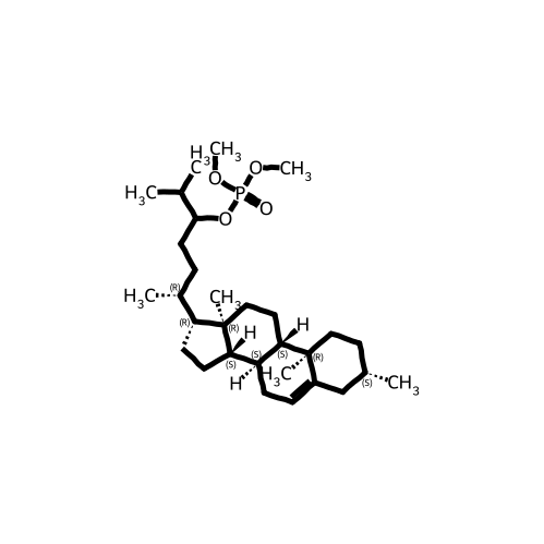 COP(=O)(OC)OC(CC[C@@H](C)[C@H]1CC[C@H]2[C@@H]3CC=C4C[C@@H](C)CC[C@]4(C)[C@H]3CC[C@]12C)C(C)C